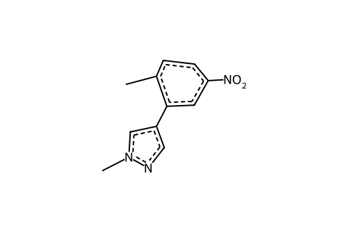 Cc1ccc([N+](=O)[O-])cc1-c1cnn(C)c1